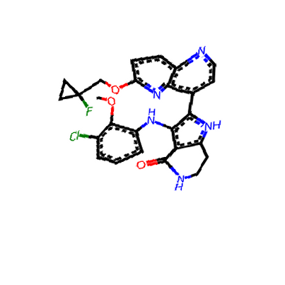 COc1c(Cl)cccc1Nc1c(-c2ccnc3ccc(OCC4(F)CC4)nc23)[nH]c2c1C(=O)NCC2